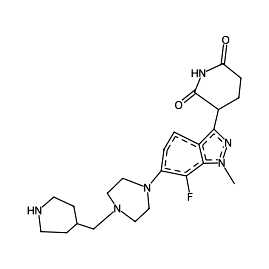 Cn1nc(C2CCC(=O)NC2=O)c2ccc(N3CCN(CC4CCNCC4)CC3)c(F)c21